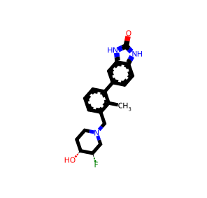 Cc1c(CN2CC[C@@H](O)[C@@H](F)C2)cccc1-c1ccc2[nH]c(=O)[nH]c2c1